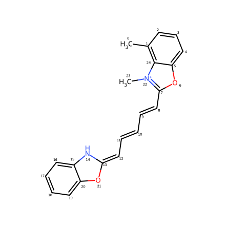 Cc1cccc2oc(C=CC=CC=C3Nc4ccccc4O3)[n+](C)c12